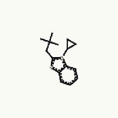 CC(C)(C)Cc1nc2ccccc2n1C1CC1